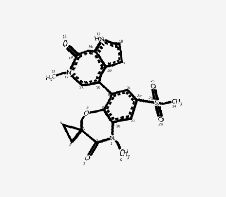 CN1C(=O)C2(CC2)Oc2c(-c3cn(C)c(=O)c4[nH]ccc34)cc(S(C)(=O)=O)cc21